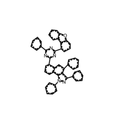 c1ccc(-c2nc(-c3cccc4c3cc(-c3ccccc3)c3c(-c5ccccc5)nn(-c5ccccc5)c34)nc(-c3cccc4oc5ccccc5c34)n2)cc1